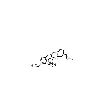 C=Cc1ccc(CN(Cc2ccc(C=C)cc2)C(CC)(CO)CN=O)cc1